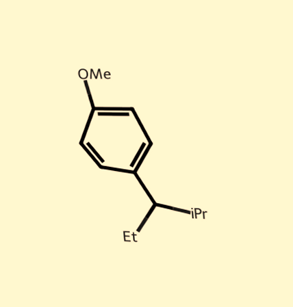 CCC(c1ccc(OC)cc1)C(C)C